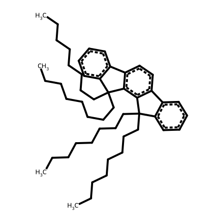 CCCCCCCCC1(CCCCCCCC)c2ccccc2-c2ccc3c(c21)C(CCCCCCCC)(CCCCCCCC)c1ccccc1-3